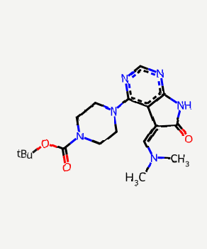 CN(C)/C=C1\C(=O)Nc2ncnc(N3CCN(C(=O)OC(C)(C)C)CC3)c21